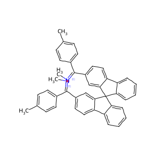 C/N=C(\c1ccc(C)cc1)c1ccc2c(c1)C1(c3ccccc3-2)c2ccccc2-c2ccc(/C(=N/C)c3ccc(C)cc3)cc21